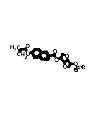 C=C(C)C(=O)Oc1ccc2cc(C(=O)OC3COC4C(O[N+](=O)[O-])COC34)ccc2c1